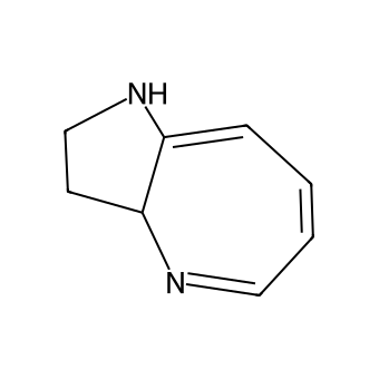 C1=CC=C2NCCC2N=C1